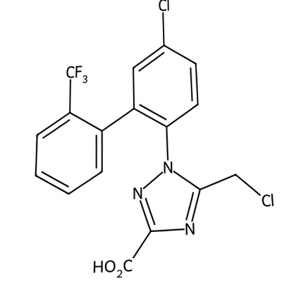 O=C(O)c1nc(CCl)n(-c2ccc(Cl)cc2-c2ccccc2C(F)(F)F)n1